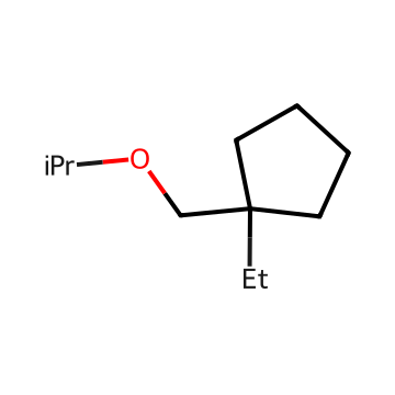 CCC1(COC(C)C)CCCC1